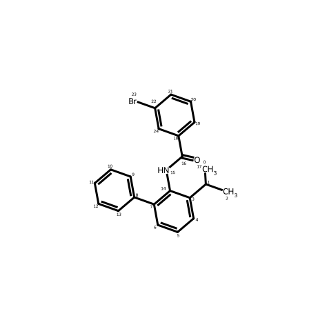 CC(C)c1cccc(-c2ccccc2)c1NC(=O)c1cccc(Br)c1